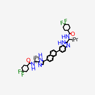 CC(C)C(NC(=O)C1CCC(F)(F)CC1)c1nc2ccc(-c3ccc4cc(-c5cnc([C@@H](NC(=O)C6CCC(F)(F)CC6)C(C)C)[nH]5)ccc4c3)cc2[nH]1